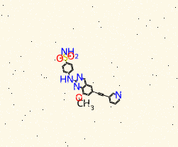 COc1cc(C#Cc2cccnc2)cc2cnc(Nc3ccc(S(N)(=O)=O)cc3)nc12